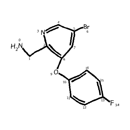 NCc1ncc(Br)cc1Oc1ccc(F)cc1